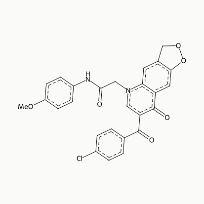 COc1ccc(NC(=O)Cn2cc(C(=O)c3ccc(Cl)cc3)c(=O)c3cc4c(cc32)COO4)cc1